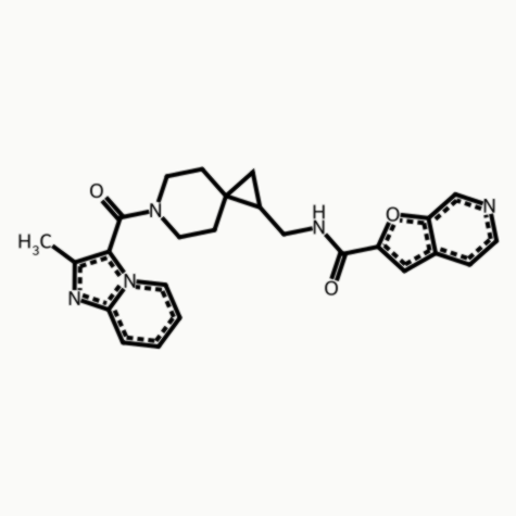 Cc1nc2ccccn2c1C(=O)N1CCC2(CC1)CC2CNC(=O)c1cc2ccncc2o1